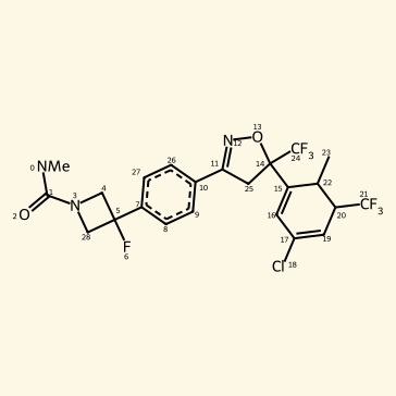 CNC(=O)N1CC(F)(c2ccc(C3=NOC(C4=CC(Cl)=CC(C(F)(F)F)C4C)(C(F)(F)F)C3)cc2)C1